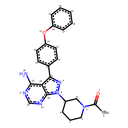 CC(C)(C)C(=O)N1CCCC(n2nc(-c3ccc(Oc4ccccc4)cc3)c3c(N)ncnc32)C1